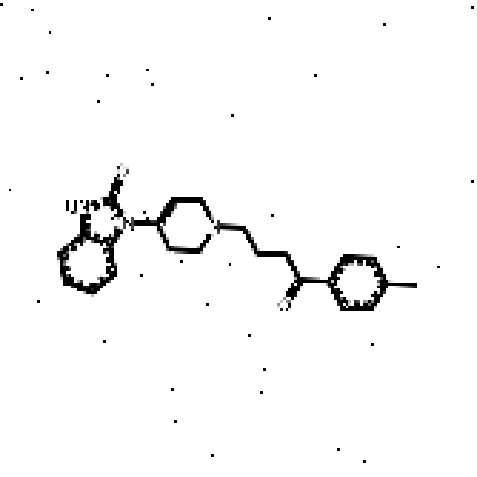 Cc1ccc(C(=O)CCCN2CC=C(n3c(=O)[nH]c4ccccc43)CC2)cc1